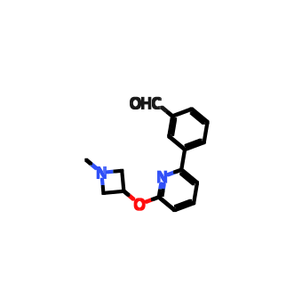 CN1CC(Oc2cccc(-c3cccc(C=O)c3)n2)C1